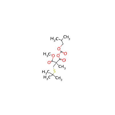 COC(=O)C(C)(CSC(C)(C)C)C(=O)OC(=O)OCC(C)C